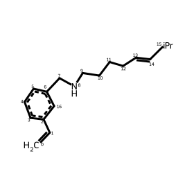 C=Cc1cccc(CNCCCC/C=C/C(C)C)c1